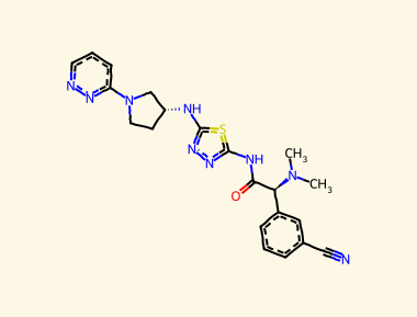 CN(C)[C@H](C(=O)Nc1nnc(N[C@@H]2CCN(c3cccnn3)C2)s1)c1cccc(C#N)c1